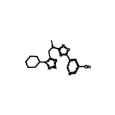 CN(Cc1nnnn1C1CCCCC1)c1noc(-c2cncc(O)c2)n1